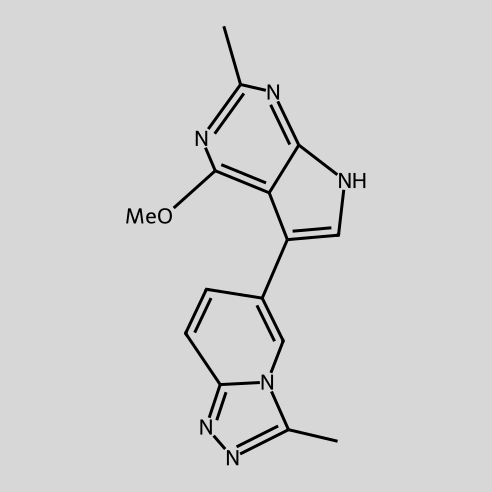 COc1nc(C)nc2[nH]cc(-c3ccc4nnc(C)n4c3)c12